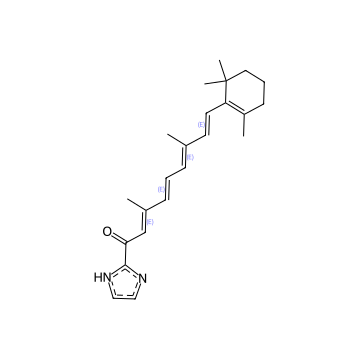 CC1=C(/C=C/C(C)=C/C=C/C(C)=C/C(=O)c2ncc[nH]2)C(C)(C)CCC1